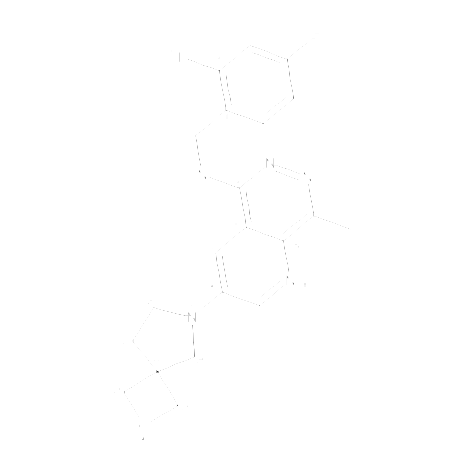 Cc1nnc(N[C@H](C)c2ccc(F)cc2F)c2cc(N3CCC4(COC4)C3)cnc12